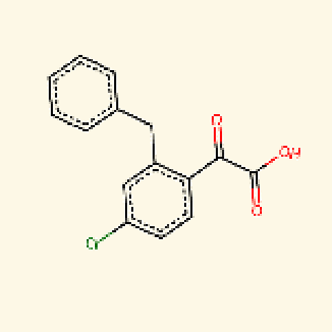 O=C(O)C(=O)c1ccc(Cl)cc1Cc1ccccc1